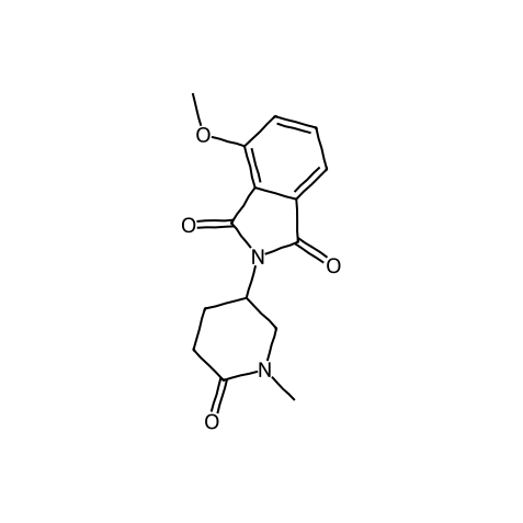 COc1cccc2c1C(=O)N(C1CCC(=O)N(C)C1)C2=O